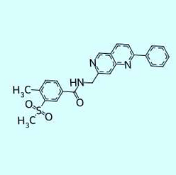 Cc1ccc(C(=O)NCc2cc3nc(-c4ccccc4)ccc3cn2)cc1S(C)(=O)=O